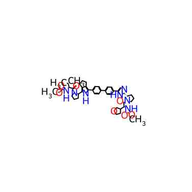 COC(=O)NC(C(=O)N1CCCC1c1[nH]c(-c2ccc(-c3ccc(-c4cnc([C@@H]5CCCN5C(=O)C(NC(=O)OC)C5CCOC5)[nH]4)cc3)cc2)c2c1CCC2)C(C)C